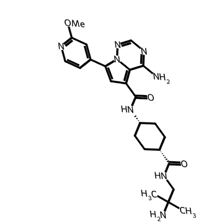 COc1cc(-c2cc(C(=O)N[C@H]3CC[C@@H](C(=O)NCC(C)(C)N)CC3)c3c(N)ncnn23)ccn1